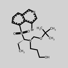 C[CH][C@@H](N(CCCO)COC(C)(C)C)S(=O)(=O)c1cccc2cncc(Br)c12